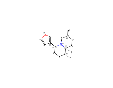 C[C@H]1CC[C@H]2[C@H](C)CC[C@@H](c3ccoc3)N2C1